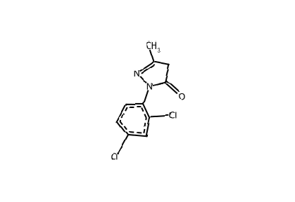 CC1=NN(c2ccc(Cl)cc2Cl)C(=O)C1